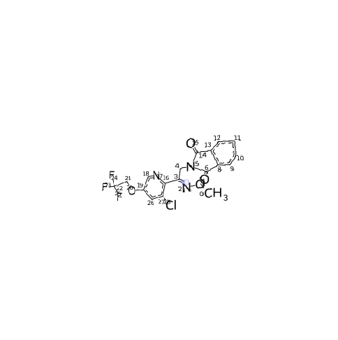 CO/N=C(\CN1C(=O)c2ccccc2C1=O)c1ncc(OCC(F)(F)F)cc1Cl